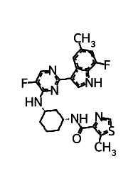 Cc1cc(F)c2[nH]cc(-c3ncc(F)c(N[C@H]4CCC[C@@H](NC(=O)c5ncsc5C)C4)n3)c2c1